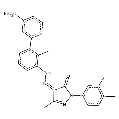 CCOC(=O)c1cccc(-c2cccc(N/N=C3\C(=O)N(c4ccc(C)c(C)c4)N=C3C)c2C)c1